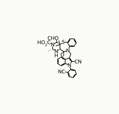 CC(C=O)N(C(=O)O)[C@@H](C)N[C@@H]1C(=O)N(Cc2c(C#N)n(-c3ccccc3C#N)c3ccccc23)c2ccccc2SC1(C)C